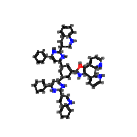 c1ccc(-c2cc(-c3cc(-c4cc(-c5ccccc5)nc(-c5cnc6ccccc6c5)n4)cc(-c4nc5c6cccnc6c6ncccc6c5o4)c3)nc(-c3cnc4ccccc4c3)n2)cc1